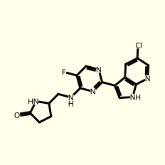 O=C1CCC(CNc2nc(-c3c[nH]c4ncc(Cl)cc34)ncc2F)N1